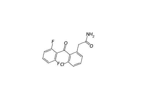 NC(=O)Cc1cccc(Cl)c1C(=O)c1c(F)cccc1F